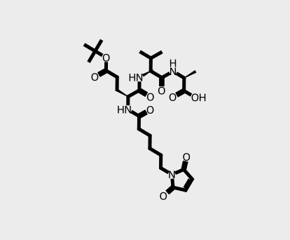 CC(C)[C@H](NC(=O)[C@H](CCC(=O)OC(C)(C)C)NC(=O)CCCCCN1C(=O)C=CC1=O)C(=O)N[C@@H](C)C(=O)O